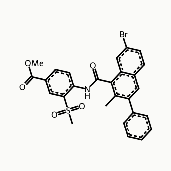 COC(=O)c1ccc(NC(=O)c2c(C)c(-c3ccccc3)cc3ccc(Br)cc23)c(S(C)(=O)=O)c1